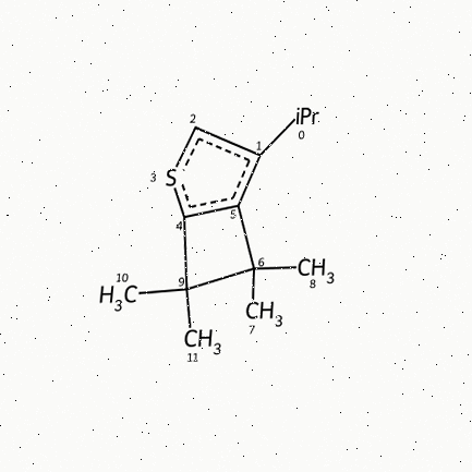 CC(C)c1csc2c1C(C)(C)C2(C)C